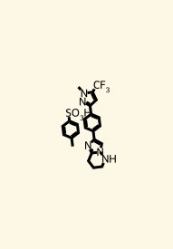 Cc1ccc(S(=O)(=O)O)cc1.Cn1nc(-c2ccc(-c3cn4c(n3)CCCN4)cc2)cc1C(F)(F)F